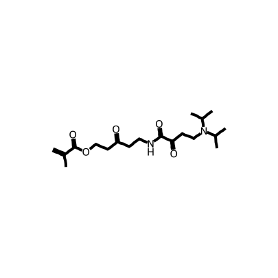 C=C(C)C(=O)OCCC(=O)CCNC(=O)C(=O)CCN(C(C)C)C(C)C